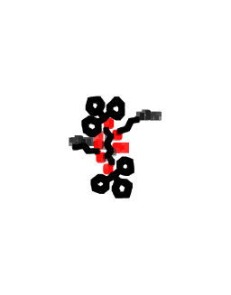 CCCCCCCCCCCCCCO[C@H](COC(c1ccccc1)(c1ccccc1)c1ccccc1)[C@@H](O)[C@H](O)[C@@H](COC(c1ccccc1)(c1ccccc1)c1ccccc1)OCCCCCCCCCCCCCC